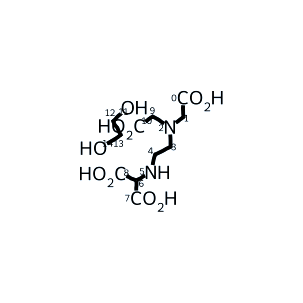 O=C(O)CN(CCNC(C(=O)O)C(=O)O)CC(=O)O.OCCO